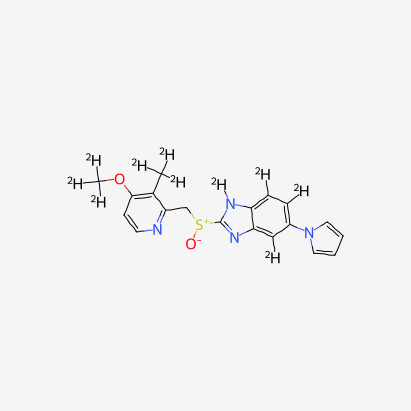 [2H]c1c(-n2cccc2)c([2H])c2nc([S+]([O-])Cc3nccc(OC([2H])([2H])[2H])c3C([2H])([2H])[2H])n([2H])c2c1[2H]